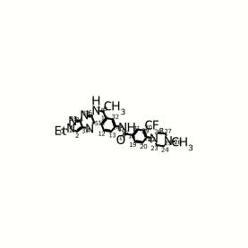 CCn1cc2ncc(N[C@@H](C)c3cccc(NC(=O)c4ccc(N5CCN(C)CC5)c(C(F)(F)F)c4)c3)nc2n1